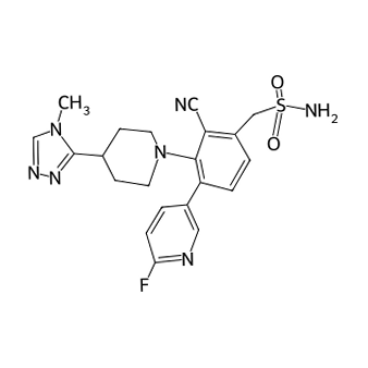 Cn1cnnc1C1CCN(c2c(-c3ccc(F)nc3)ccc(CS(N)(=O)=O)c2C#N)CC1